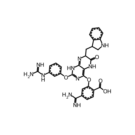 N=C(N)Nc1cccc(OC2=NC(Oc3cc(C(=N)N)ccc3C(=O)O)=C3NC(=O)C(CC4CNc5ccccc54)N=C3N2)c1